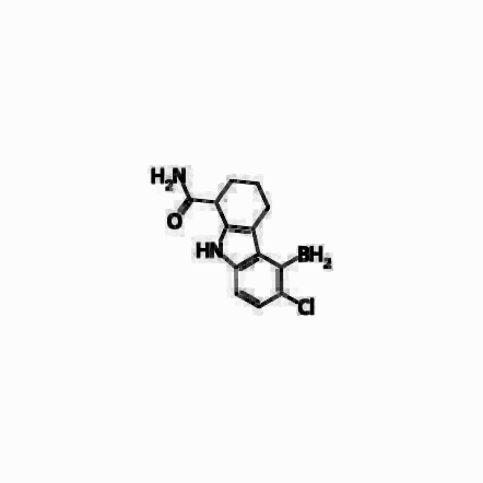 Bc1c(Cl)ccc2[nH]c3c(c12)CCCC3C(N)=O